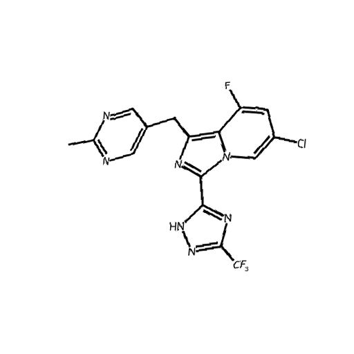 Cc1ncc(Cc2nc(-c3nc(C(F)(F)F)n[nH]3)n3cc(Cl)cc(F)c23)cn1